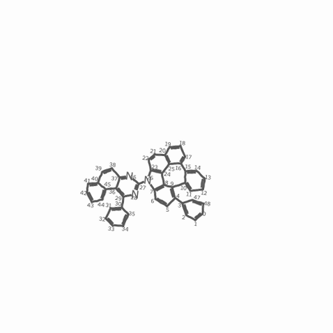 c1ccc(-c2ccc3c4c2-c2ccccc2-c2cccc5ccc(c4c25)n3-c2nc(-c3ccccc3)c3c(ccc4ccccc43)n2)cc1